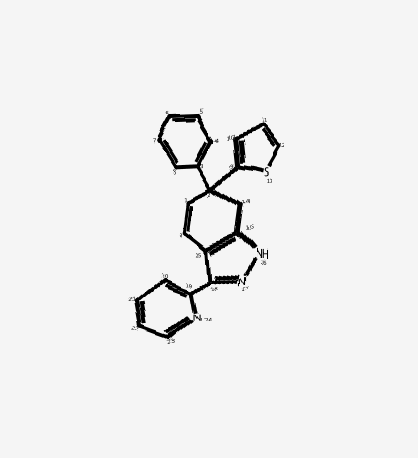 C1=CC(c2ccccc2)(c2cccs2)Cc2[nH]nc(-c3ccccn3)c21